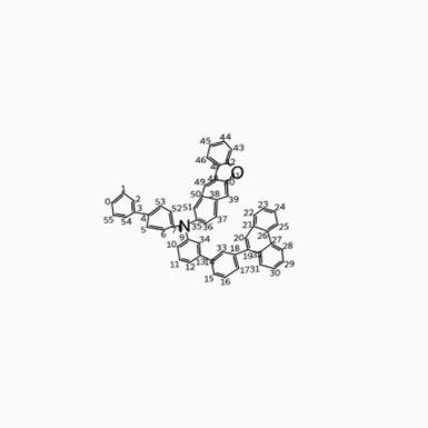 c1ccc(-c2ccc(N(c3cccc(-c4cccc(-c5cc6ccccc6c6ccccc56)c4)c3)c3ccc4cc5oc6ccccc6c5cc4c3)cc2)cc1